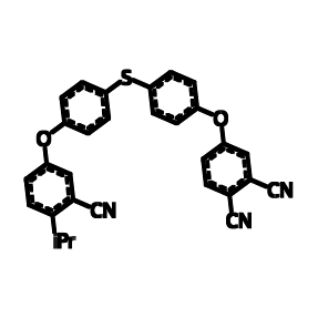 CC(C)c1ccc(Oc2ccc(Sc3ccc(Oc4ccc(C#N)c(C#N)c4)cc3)cc2)cc1C#N